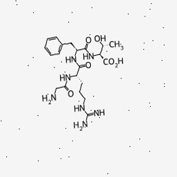 C[C@@H](O)[C@H](NC(=O)[C@H](Cc1ccccc1)NC(=O)[C@H](CCCNC(=N)N)NC(=O)CN)C(=O)O